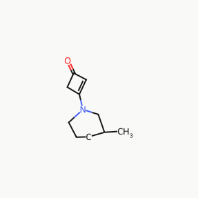 CC1CCCN(C2=CC(=O)C2)C1